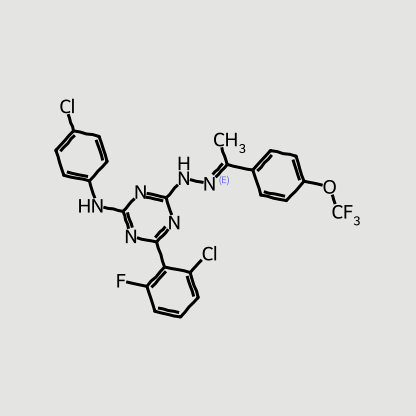 C/C(=N\Nc1nc(Nc2ccc(Cl)cc2)nc(-c2c(F)cccc2Cl)n1)c1ccc(OC(F)(F)F)cc1